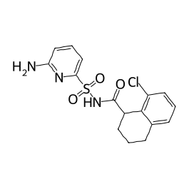 Nc1cccc(S(=O)(=O)NC(=O)C2CCCc3cccc(Cl)c32)n1